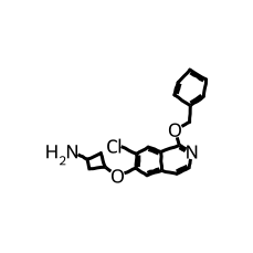 NC1CC(Oc2cc3ccnc(OCc4ccccc4)c3cc2Cl)C1